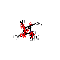 C=C(/C=C1/Cc2cc(C(=O)CCCCC)cc(c2OCC(=O)OC)Cc2cc(C(=O)CCCCC)cc(c2OCC(=O)OC)Cc2cc(C(=O)CCCCC)cc(c2OCC(=O)OC)CC(C)C1OCC(=O)OC)C(=O)CCCCC